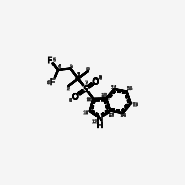 CC(C)(CC(F)F)S(=O)(=O)c1c[nH]c2ccccc12